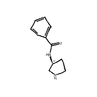 O=C(N[C@H]1CCNC1)c1cc[c]cc1